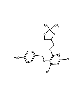 COc1ccc(COc2c(Br)cc(Cl)nc2OCC2COC(C)(C)O2)cc1